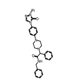 CC(C)n1ncn(-c2ccc(N3CCN(C(C(=O)NCc4ccccc4)c4ccccc4)CC3)cc2)c1=O